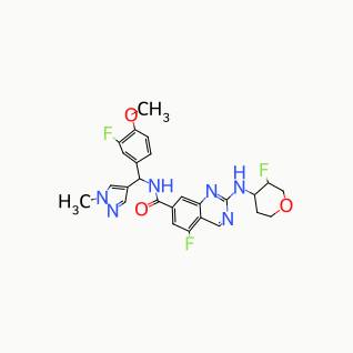 COc1ccc(C(NC(=O)c2cc(F)c3cnc(NC4CCOCC4F)nc3c2)c2cnn(C)c2)cc1F